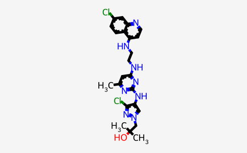 Cc1cc(NCCNc2ccnc3cc(Cl)ccc23)nc(Nc2cn(CC(C)(C)O)nc2Cl)n1